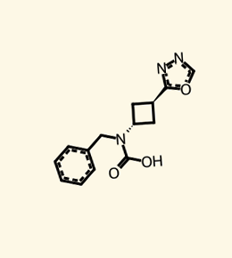 O=C(O)N(Cc1ccccc1)[C@H]1C[C@H](c2nnco2)C1